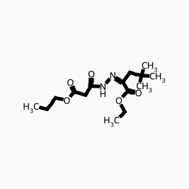 CCCOC(=O)CC(=O)N/N=C(/CC(C)(C)C)C(=O)OCC